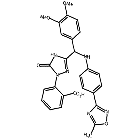 COc1ccc(C(Nc2ccc(-c3noc(C)n3)cc2)c2nn(-c3ccccc3C(=O)O)c(=O)[nH]2)cc1OC